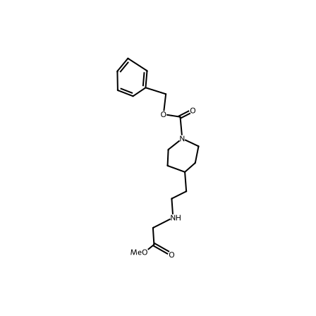 COC(=O)CNCCC1CCN(C(=O)OCc2ccccc2)CC1